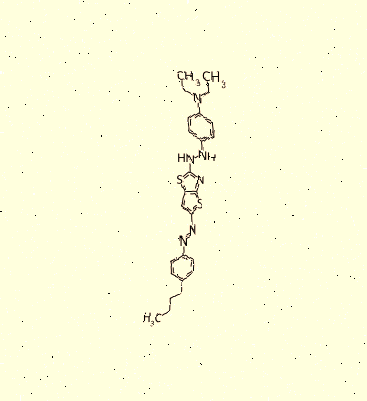 CCCCc1ccc(N=Nc2cc3sc(NNc4ccc(N(CC)CC)cc4)nc3s2)cc1